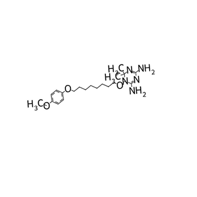 COc1ccc(OCCCCCCCCON2C(N)=NC(N)=NC2(C)C)cc1